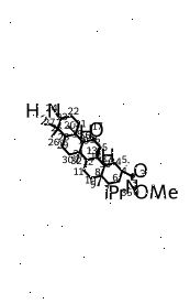 CON(C(=O)[C@@]1(C)CC[C@]2(C)CC[C@]3(C)C(=CC(=O)[C@@H]4[C@@]5(C)CC[C@H](N)C(C)(C)C5CC[C@]43C)[C@@H]2C1)C(C)C